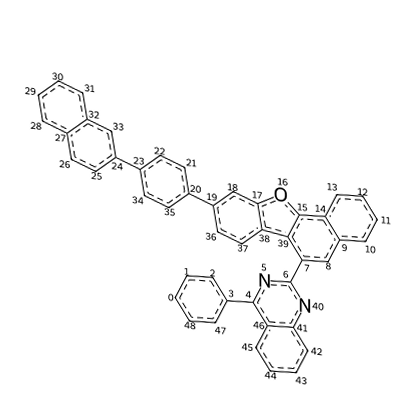 c1ccc(-c2nc(-c3cc4ccccc4c4oc5cc(-c6ccc(-c7ccc8ccccc8c7)cc6)ccc5c34)nc3ccccc23)cc1